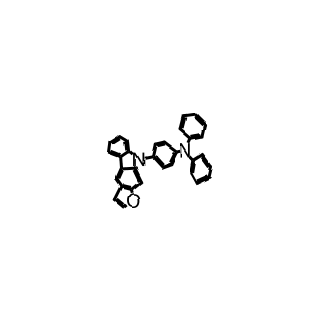 c1ccc(N(c2ccccc2)c2ccc(-n3c4ccccc4c4cc5ccoc5cc43)cc2)cc1